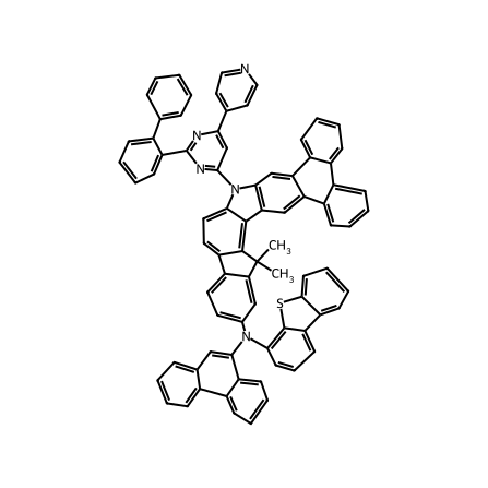 CC1(C)c2cc(N(c3cc4ccccc4c4ccccc34)c3cccc4c3sc3ccccc34)ccc2-c2ccc3c(c21)c1cc2c4ccccc4c4ccccc4c2cc1n3-c1cc(-c2ccncc2)nc(-c2ccccc2-c2ccccc2)n1